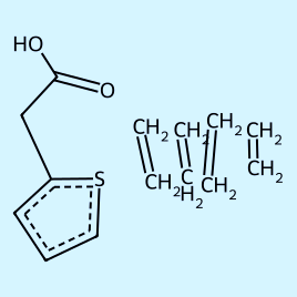 C=C.C=C.C=C.C=C.O=C(O)Cc1cccs1